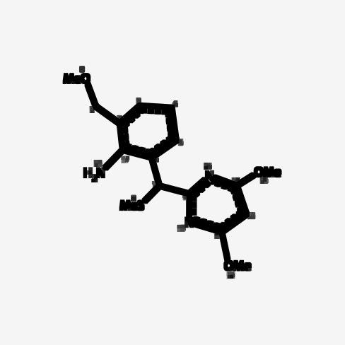 COCc1cccc(C(SC)c2nc(OC)cc(OC)n2)c1N